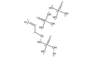 C=C[CH2][Zn].O=P(O)(O)O.OP(O)(O)=S.OP(O)(O)=S.[Zn]